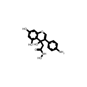 Nc1ccc(C2=COc3cc(O)cc(O)c3C2(O)CC(=O)NO)cc1